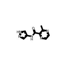 Cc1nccnc1C(=O)Nc1cn[nH]c1